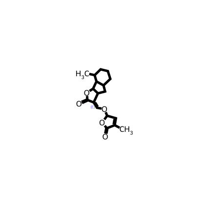 CC1=CC(O/C=C2/C(=O)OC3C2CC2CCCC(C)C23)OC1=O